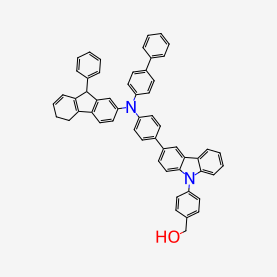 OCc1ccc(-n2c3ccccc3c3cc(-c4ccc(N(c5ccc(-c6ccccc6)cc5)c5ccc6c(c5)C(c5ccccc5)C5=C6CCC=C5)cc4)ccc32)cc1